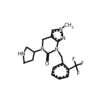 Cn1cc2c(n1)N(Cc1ccccc1C(F)(F)F)C(=O)N(C1CCNC1)C2